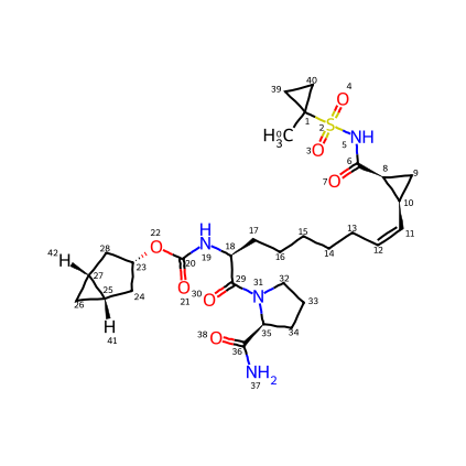 CC1(S(=O)(=O)NC(=O)[C@H]2C[C@H]2/C=C\CCCCC[C@H](NC(=O)O[C@@H]2C[C@@H]3C[C@@H]3C2)C(=O)N2CCC[C@H]2C(N)=O)CC1